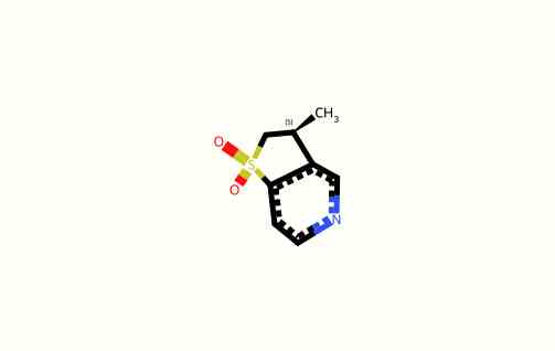 C[C@@H]1CS(=O)(=O)c2ccncc21